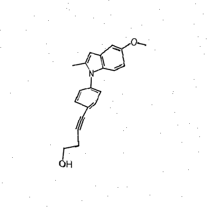 COc1ccc2c(c1)cc(C)n2-c1ccc(C#CCCO)cc1